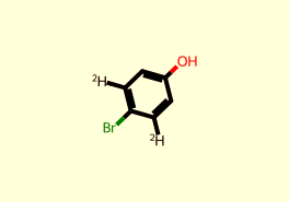 [2H]c1cc(O)cc([2H])c1Br